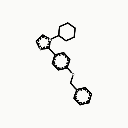 c1ccc(COc2ccc(-c3nccn3C3CCCCC3)cc2)cc1